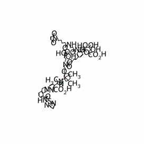 Cc1c(-c2ccc(N3CCc4cccc(C(=O)Nc5nc6cccnc6s5)c4C3)nc2C(=O)O)cnn1CC12CC3(C)CC(C)(C1)CC(OCCN(CCCP(=O)(O)O)C(=O)OC/C=C/c1ccc(O[C@@H]4O[C@H](C(=O)O)[C@@H](O)[C@H](O)[C@H]4O)c(NC(=O)CCNC(=O)CCCCCN4C(=O)C=CC4=O)c1)(C3)C2